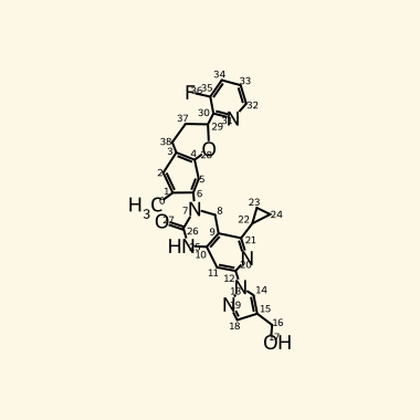 Cc1cc2c(cc1N1Cc3c(cc(-n4cc(CO)cn4)nc3C3CC3)NC1=O)OC(c1ncccc1F)CC2